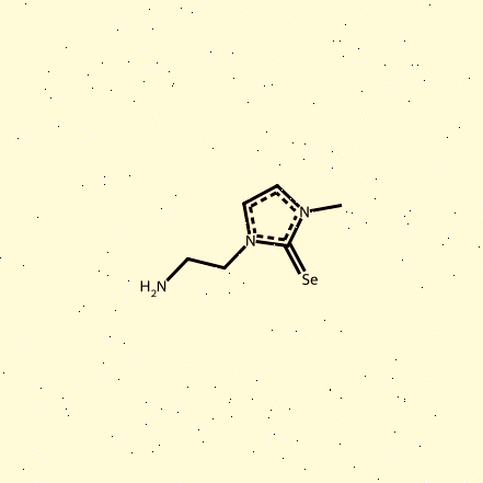 Cn1ccn(CCN)c1=[Se]